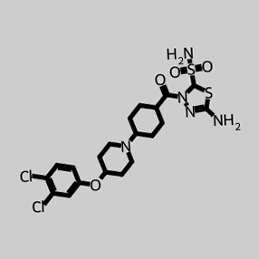 NC1=NN(C(=O)C2CCC(N3CCC(Oc4ccc(Cl)c(Cl)c4)CC3)CC2)C(S(N)(=O)=O)S1